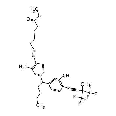 CCCCC(c1ccc(C#CCCCCC(=O)OC)c(C)c1)c1ccc(C#CC(O)(C(F)(F)F)C(F)(F)F)c(C)c1